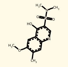 COc1cc2c(O)c(S(=O)(=O)N(C)C)cnc2cc1C